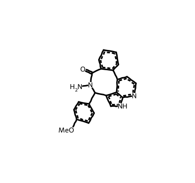 COc1ccc(C2c3c[nH]c4nccc(c34)-c3ccccc3C(=O)N2N)cc1